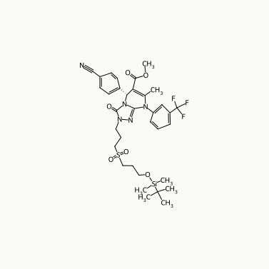 COC(=O)C1=C(C)N(c2cccc(C(F)(F)F)c2)c2nn(CCCS(=O)(=O)CCCO[Si](C)(C)C(C)(C)C)c(=O)n2[C@@H]1c1ccc(C#N)cc1